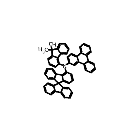 CC1(C)c2ccccc2-c2c(N(c3ccc4c5ccccc5c5ccccc5c4c3)c3cccc4c3-c3ccccc3C43c4ccccc4-c4ccccc43)cccc21